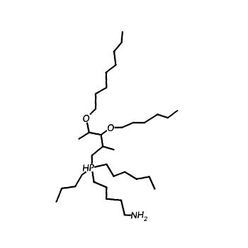 CCCCCCCCOC(C)C(OCCCCCC)C(C)C[PH](CCCC)(CCCCCC)CCCCCN